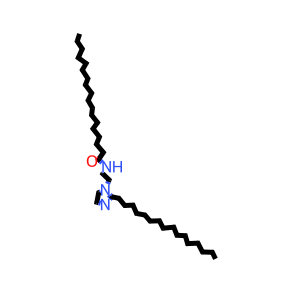 CCCCCCCCCCCCCCCCCC(=O)NCCN1CCN=C1CCCCCCCCCCCCCCCC